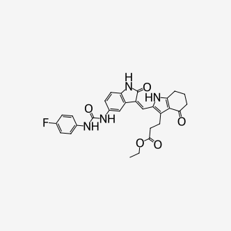 CCOC(=O)CCc1c(/C=C2\C(=O)Nc3ccc(NC(=O)Nc4ccc(F)cc4)cc32)[nH]c2c1C(=O)CCC2